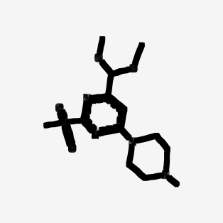 COC(OC)c1cc(N2CCN(C)CC2)nc(S(C)(=O)=O)n1